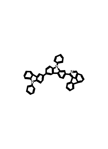 c1ccc(-n2c3ccccc3c3cc(-c4ccc5c(c4)c4ccc(-c6ncc7cccc8c7c6-c6ccccc6-8)cc4n5-c4ccccc4)ccc32)cc1